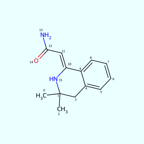 CC1(C)Cc2ccccc2C(=CC(N)=O)N1